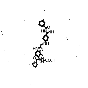 Cc1c([C@@](C)(NCC(=O)O)C(=O)N2CCCC2)ccc2[nH]c(CNc3ccc(C(=N)NC(=O)c4ccccc4)cc3)nc12